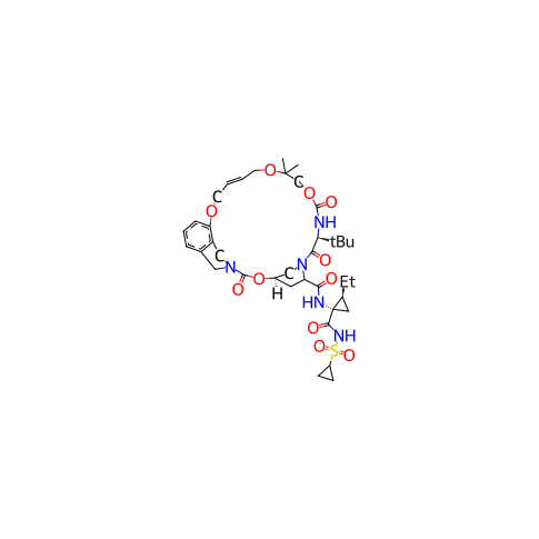 CC[C@H]1C[C@@]1(NC(=O)C1C[C@@H]2CN1C(=O)[C@H](C(C)(C)C)NC(=O)OCC(C)(C)OC/C=C/COc1cccc3c1CN(C3)C(=O)O2)C(=O)NS(=O)(=O)C1CC1